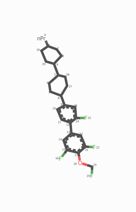 CCCC1CCC(C2CCC(c3ccc(-c4cc(F)c(OCF)c(F)c4)c(F)c3)CC2)CC1